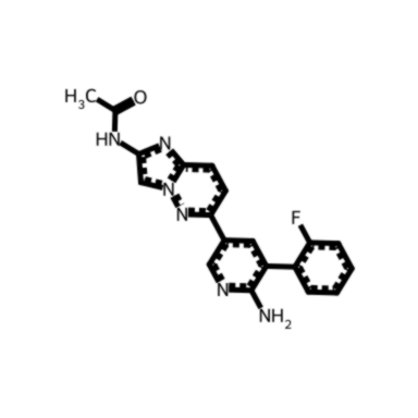 CC(=O)Nc1cn2nc(-c3cnc(N)c(-c4ccccc4F)c3)ccc2n1